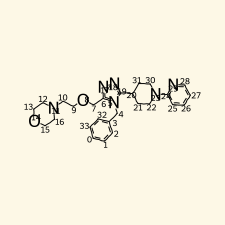 c1ccc(Cn2c(COCCN3CCOCC3)nnc2C2CCN(c3ccccn3)CC2)cc1